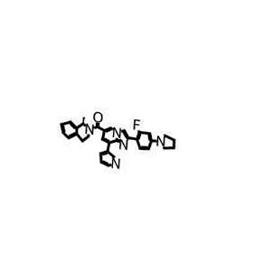 C[C@@H]1c2ccccc2CCN1C(=O)c1cc(-c2cccnc2)c2nc(-c3ccc(N4CCCC4)cc3F)cn2c1